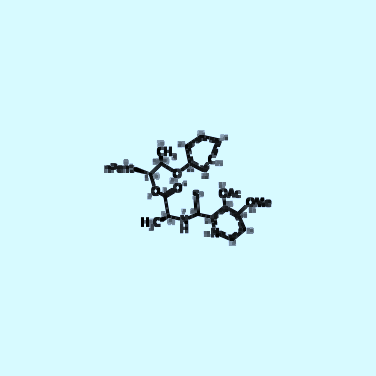 CCCCC[C@H](OC(=O)[C@H](C)NC(=S)c1nccc(OC)c1OC(C)=O)[C@@H](C)Oc1ccccc1